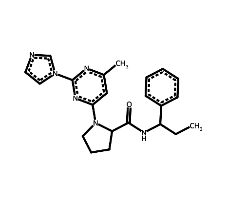 CCC(NC(=O)C1CCCN1c1cc(C)nc(-n2ccnc2)n1)c1ccccc1